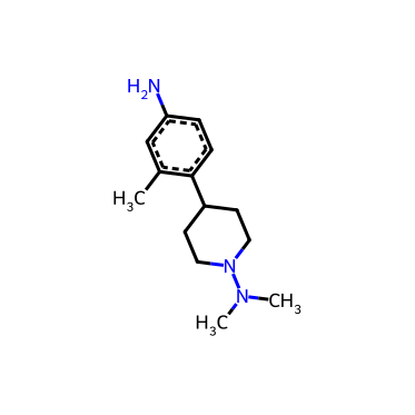 Cc1cc(N)ccc1C1CCN(N(C)C)CC1